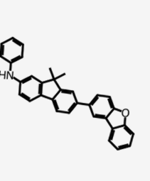 CC1(C)c2cc(Nc3ccccc3)ccc2-c2ccc(-c3ccc4oc5ccccc5c4c3)cc21